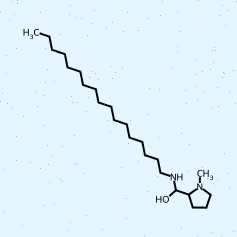 CCCCCCCCCCCCCCCCCNC(O)C1CCCN1C